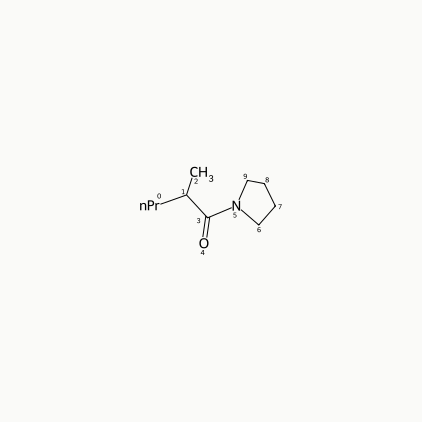 CCCC(C)C(=O)N1CCCC1